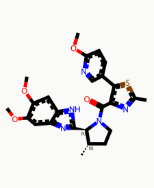 COc1ccc(-c2sc(C)nc2C(=O)N2CC[C@H](C)[C@H]2c2nc3cc(OC)c(OC)cc3[nH]2)cn1